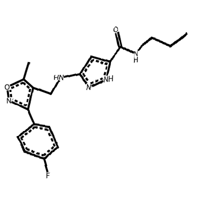 CCCNC(=O)c1cc(NCc2c(-c3ccc(F)cc3)noc2C)n[nH]1